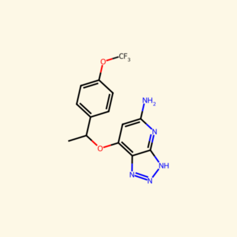 CC(Oc1cc(N)nc2[nH]nnc12)c1ccc(OC(F)(F)F)cc1